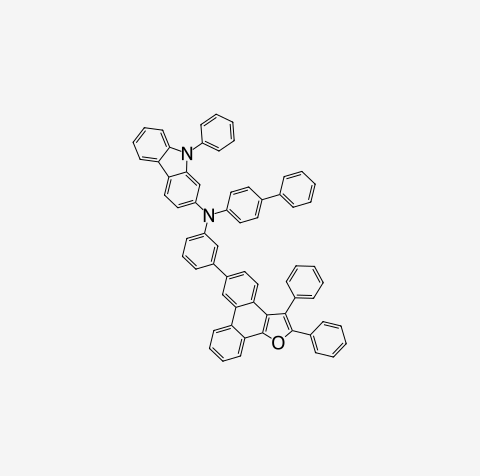 c1ccc(-c2ccc(N(c3cccc(-c4ccc5c(c4)c4ccccc4c4oc(-c6ccccc6)c(-c6ccccc6)c54)c3)c3ccc4c5ccccc5n(-c5ccccc5)c4c3)cc2)cc1